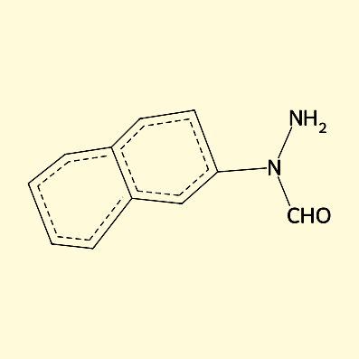 NN(C=O)c1ccc2ccccc2c1